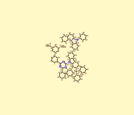 CC(C)(C)c1cc(-c2cccc(-c3nc(-c4ccccc4)nc(-n4c5ccc(-c6ccc7c(c6)c6c8ccccc8ccc6n7-c6ccccc6)cc5c5ccc6c(c54)-c4ccccc4C64c5ccccc5-c5ccccc54)n3)c2)cc(C(C)(C)C)c1